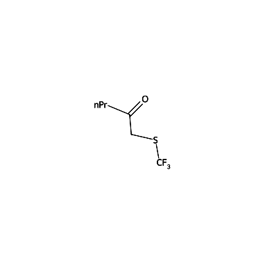 CCCC(=O)CSC(F)(F)F